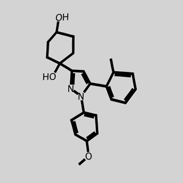 COc1ccc(-n2nc(C3(O)CCC(O)CC3)cc2-c2ccccc2C)cc1